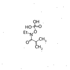 C=C(C)C(=O)N(CC)OP(=O)(O)O